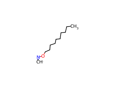 [CH]=NOCCCCCCCCCC